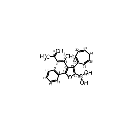 C=C(C)/C=C(\C)c1c(-c2ccccc2)oc(B(O)O)c1C1=CC=CCC=C1